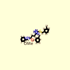 COc1ccccc1CNC(=O)CCc1nnc(SCc2cccc(C)c2)n1Cc1ccccc1